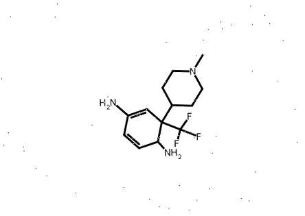 CN1CCC(C2(C(F)(F)F)C=C(N)C=CC2N)CC1